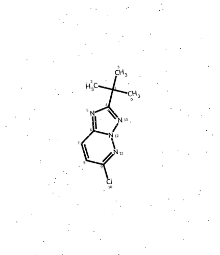 CC(C)(C)c1nc2ccc(Cl)nn2n1